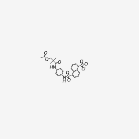 CC(=O)OCC(C)(C)C(=O)Nc1ccc(NS(=O)(=O)c2cccc3c(S(=O)(=O)Cl)cccc23)cc1